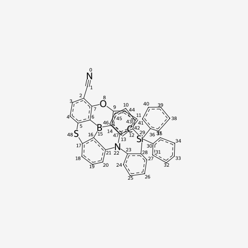 N#Cc1ccc2c3c1Oc1ccccc1B3c1c(cccc1N1c3ccccc3[Si](c3ccccc3)(c3ccccc3)c3ccccc31)S2